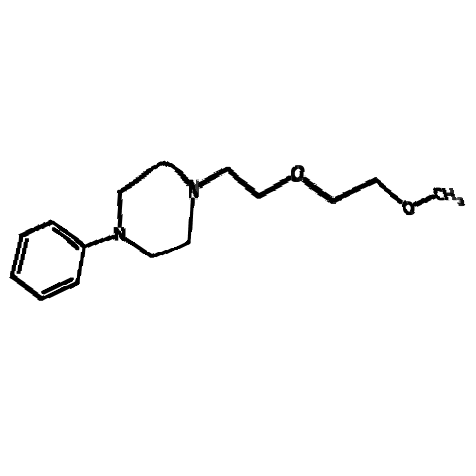 COCCOCCN1CCN(c2ccccc2)CC1